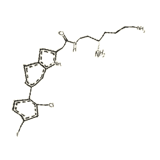 NCCC[C@H](N)CNC(=O)c1cc2ccc(-c3ccc(F)cc3Cl)cc2[nH]1